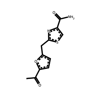 CC(=O)c1ccc(Cc2nc(C(N)=O)cs2)o1